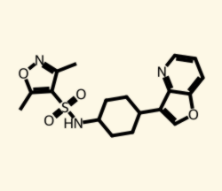 Cc1noc(C)c1S(=O)(=O)NC1CCC(c2coc3cccnc23)CC1